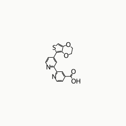 O=C(O)c1ccnc(-c2cc(-c3scc4c3OCCO4)ccn2)c1